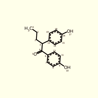 CCCC(C(=O)c1ccc(O)cc1)c1ccc(O)cc1